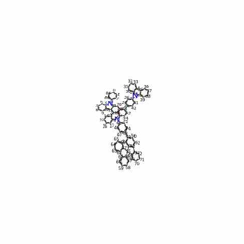 c1ccc(-n2c3ccccc3c3c(-c4ccccc4N(c4ccc(-c5ccc(-n6c7ccccc7c7ccccc76)cc5)cc4)c4ccc(-c5ccc6c(c5)C5(c7ccccc7-c7ccccc75)c5ccccc5-6)cc4)cccc32)cc1